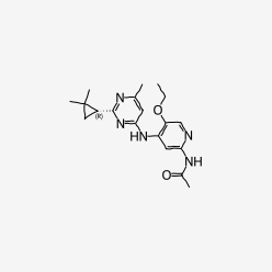 CCOc1cnc(NC(C)=O)cc1Nc1cc(C)nc([C@@H]2CC2(C)C)n1